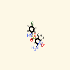 Cc1c[n+]([O-])c(N)cc1S(=O)(=O)Nc1ccc(Cl)cc1